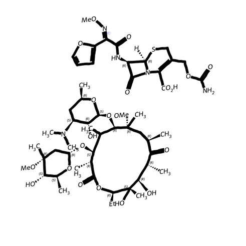 CC[C@H]1OC(=O)[C@H](C)[C@@H](O[C@H]2C[C@@](C)(OC)[C@@H](O)[C@H](C)O2)C(C)[C@@H](O[C@@H]2O[C@H](C)C[C@H](N(C)C)[C@H]2O)[C@](C)(OC)C[C@@H](C)C(=O)[C@H](C)[C@@H](O)[C@]1(C)O.CO/N=C(/C(=O)N[C@@H]1C(=O)N2C(C(=O)O)=C(COC(N)=O)CS[C@H]12)c1ccco1